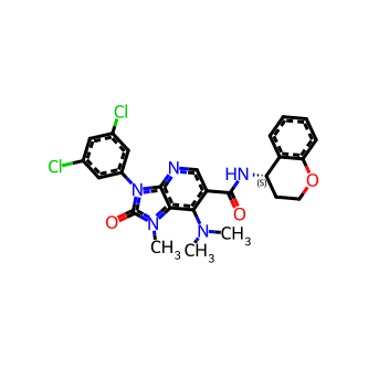 CN(C)c1c(C(=O)N[C@H]2CCOc3ccccc32)cnc2c1n(C)c(=O)n2-c1cc(Cl)cc(Cl)c1